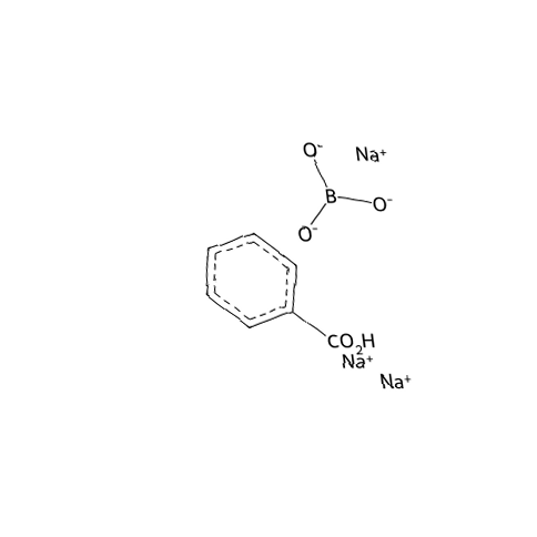 O=C(O)c1ccccc1.[Na+].[Na+].[Na+].[O-]B([O-])[O-]